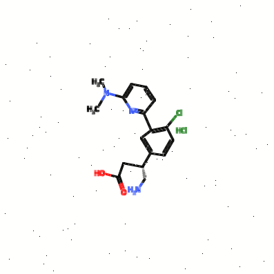 CN(C)c1cccc(-c2cc([C@H](CN)CC(=O)O)ccc2Cl)n1.Cl